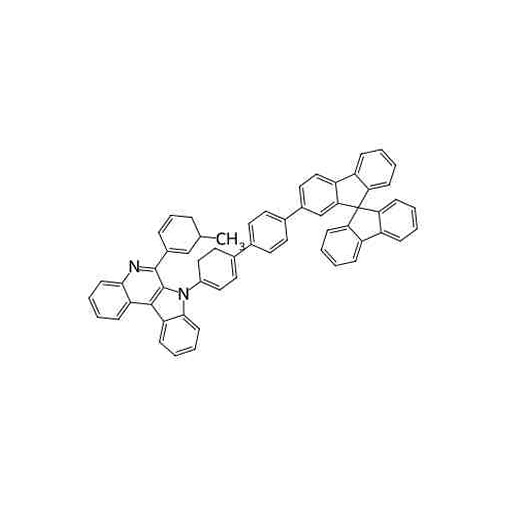 CC1C=C(c2nc3ccccc3c3c4ccccc4n(C4=CC=C(c5ccc(-c6ccc7c(c6)C6(c8ccccc8-c8ccccc86)c6ccccc6-7)cc5)CC4)c23)C=CC1